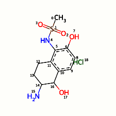 CS(=O)(=O)Nc1c(O)ccc2c1CCC(N)C2O.Cl